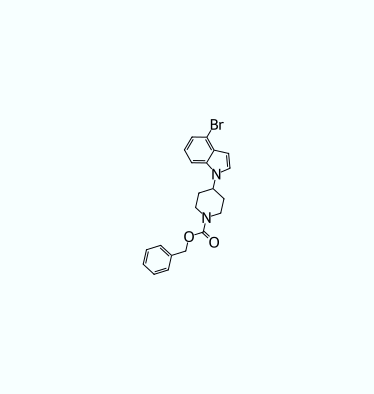 O=C(OCc1ccccc1)N1CCC(n2ccc3c(Br)cccc32)CC1